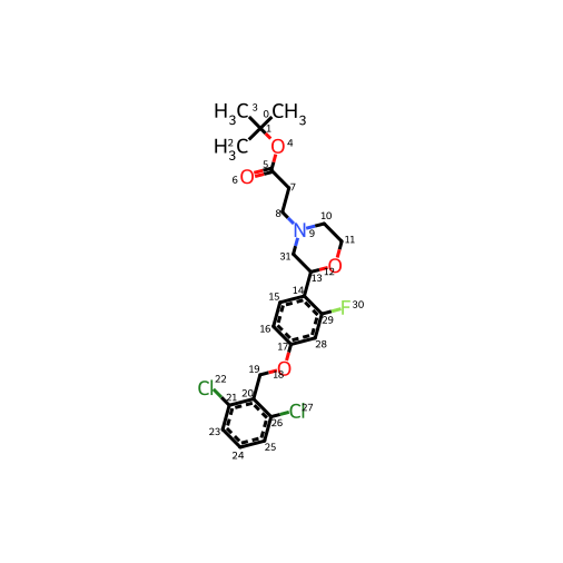 CC(C)(C)OC(=O)CCN1CCOC(c2ccc(OCc3c(Cl)cccc3Cl)cc2F)C1